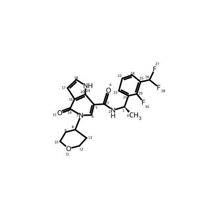 C[C@@H](NC(=O)c1cn(C2CCOCC2)c(=O)c2cc[nH]c12)c1cccc(C(F)F)c1F